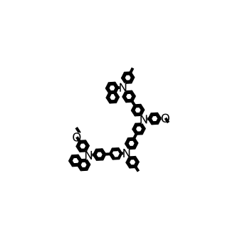 CCOc1ccc(N(c2ccc(C3=CCC(N(c4ccc(C)cc4)c4ccc(-c5ccc(N(c6ccc(OC)cc6)c6ccc(-c7ccc(N(c8ccc(C)cc8)c8cccc9ccccc89)cc7)cc6)cc5)cc4)C=C3)cc2)c2cccc3ccccc23)cc1